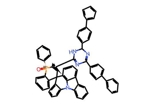 O=[P@]1(c2ccccc2)c2ccccc2C2(c3ccccc3-n3c4ccccc4c4cccc2c43)c2cc(C3=NC(c4ccc(-c5ccccc5)cc4)=NC(c4ccc(-c5ccccc5)cc4)N3)ccc21